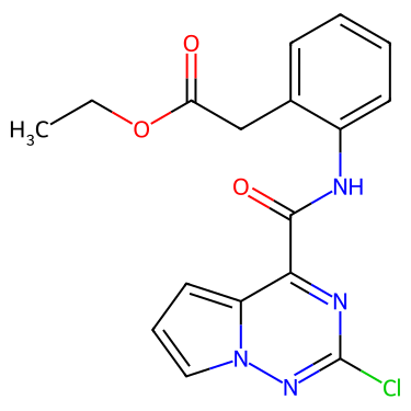 CCOC(=O)Cc1ccccc1NC(=O)c1nc(Cl)nn2cccc12